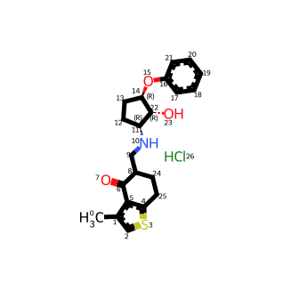 Cc1csc2c1C(=O)C(CN[C@@H]1CC[C@@H](Oc3ccccc3)[C@@H]1O)CC2.Cl